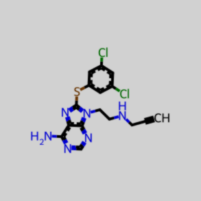 C#CCNCCn1c(Sc2cc(Cl)cc(Cl)c2)nc2c(N)ncnc21